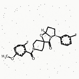 COc1ccc(F)c(C(=O)N2CCC3(CC2)O[C@@H]2CC[C@@H](c4cccc(F)c4)N2C3=O)c1